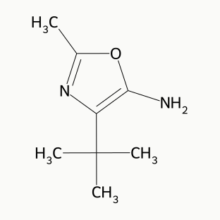 Cc1nc(C(C)(C)C)c(N)o1